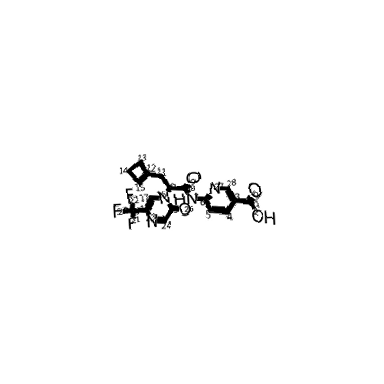 O=C(O)c1ccc(NC(=O)C(CC2CCC2)n2cc(C(F)(F)F)ncc2=O)nc1